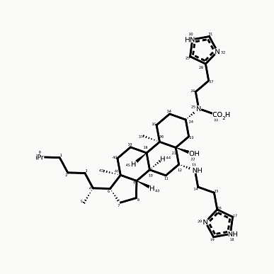 CC(C)CCC[C@@H](C)[C@H]1CC[C@H]2[C@@H]3C[C@@H](NCCc4c[nH]cn4)[C@@]4(O)C[C@@H](N(CCc5c[nH]cn5)C(=O)O)CC[C@]4(C)[C@H]3CC[C@]12C